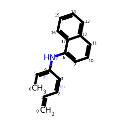 C=C/C=C\C(=C/C)Nc1cccc2ccccc12